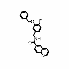 O=C(NCc1ccc(F)c(OCc2ccccc2)c1)c1ccc2ncccc2c1